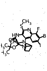 CSc1nc2c(F)c(Br)c(I)cc2c2c1NC(=O)CN2C1C2CC1N(C(=O)OC(C)(C)C)C2